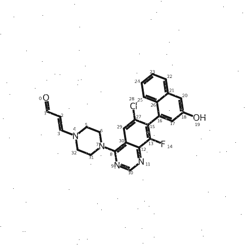 O=CC=CN1CCN(c2ncnc3c(F)c(-c4cc(O)cc5ccccc45)c(Cl)cc23)CC1